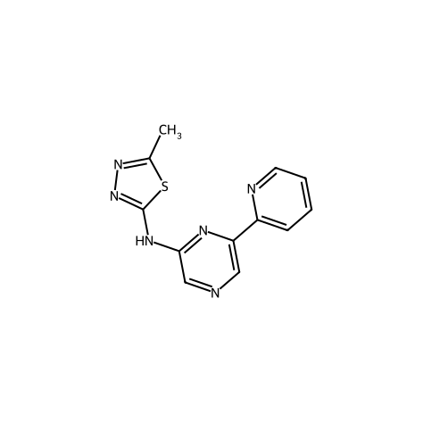 Cc1nnc(Nc2cncc(-c3ccccn3)n2)s1